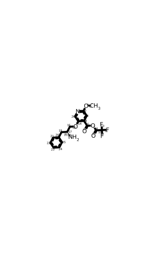 COc1cc(C(=O)OC(=O)C(F)(F)F)c(OC[C@H](N)Cc2ccccc2)cn1